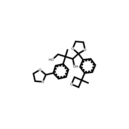 CC1(c2cccc(C3(C(O)C(C)(CO)c4cccc(C5OCCO5)c4)OCCO3)c2)COC1